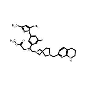 COC(=O)C[C@H](CN1CC2(CCN(Cc3ccc4c(n3)NCCC4)C2)C1)c1cc(F)cc(-n2nc(C)cc2C)c1